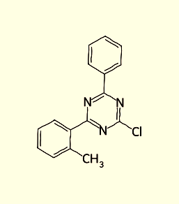 Cc1ccccc1-c1nc(Cl)nc(-c2ccccc2)n1